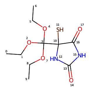 CCOC(OCC)(OCC)C1(S)NC(=O)NC1=O